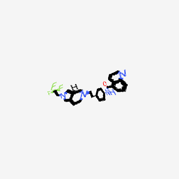 O=C(N[C@H]1CC[C@H](CCN2CCC3CN(CC(F)(F)F)C[C@@H]3C2)CC1)c1cccc2ncccc12